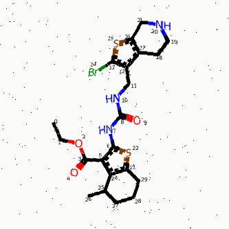 CCOC(=O)c1c(NC(=O)NCc2c(Br)sc3c2CCNC3)sc2c1C(C)CCC2